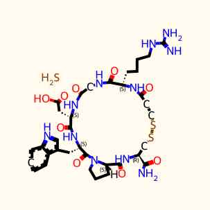 N=C(N)NCCCC[C@@H]1NC(=O)CCSSC[C@@H](C(N)=O)NC(=O)[C@@H]2CCCN2C(=O)[C@H](Cc2c[nH]c3ccccc23)NC(=O)[C@H](CC(=O)O)NC(=O)CNC1=O.S